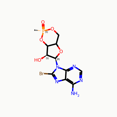 C[P@]1(=O)OCC2O[C@@H](n3c(Br)nc4c(N)ncnc43)[C@@H](O)C2O1